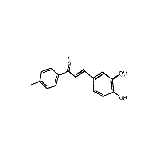 Cc1ccc(C(=S)C=Cc2ccc(O)c(O)c2)cc1